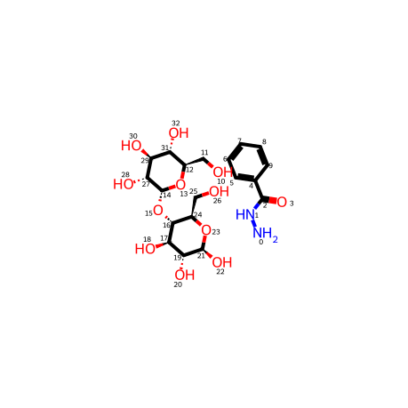 NNC(=O)c1ccccc1.OC[C@H]1O[C@H](O[C@H]2[C@H](O)[C@@H](O)[C@H](O)O[C@@H]2CO)[C@H](O)[C@@H](O)[C@@H]1O